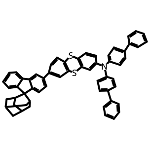 c1ccc(-c2ccc(N(c3ccc(-c4ccccc4)cc3)c3ccc4c(c3)Sc3cc(-c5ccc6c(c5)-c5ccccc5C65C6CC7CC(C6)CC5C7)ccc3S4)cc2)cc1